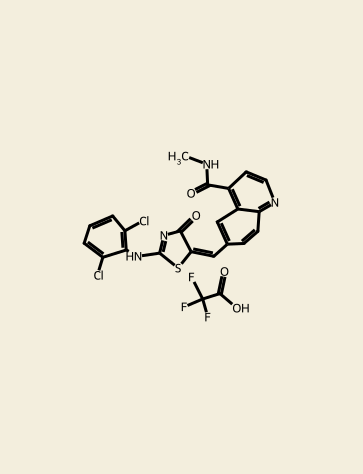 CNC(=O)c1ccnc2ccc(C=C3SC(Nc4c(Cl)cccc4Cl)=NC3=O)cc12.O=C(O)C(F)(F)F